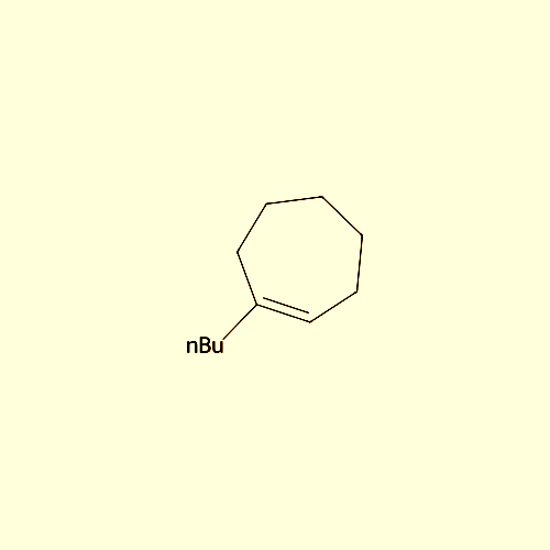 [CH2]CCCC1=CCCCCC1